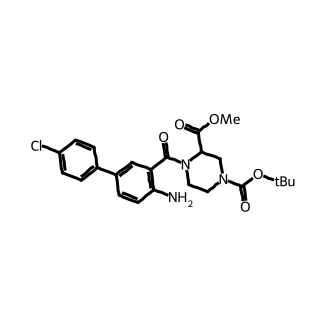 COC(=O)C1CN(C(=O)OC(C)(C)C)CCN1C(=O)c1cc(-c2ccc(Cl)cc2)ccc1N